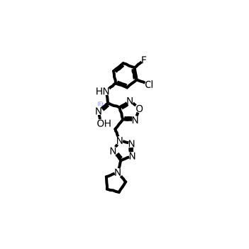 O/N=C(/Nc1ccc(F)c(Cl)c1)c1nonc1Cn1nnc(N2CCCC2)n1